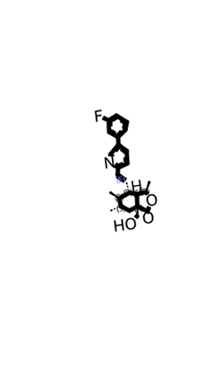 C[C@H]1[C@H](/C=C/c2ccc(-c3cccc(F)c3)cn2)[C@@H]2[C@@H](C)OC(=O)[C@]2(CO)C[C@@H]1C